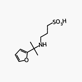 CC(C)(NCCCS(=O)(=O)O)c1ccco1